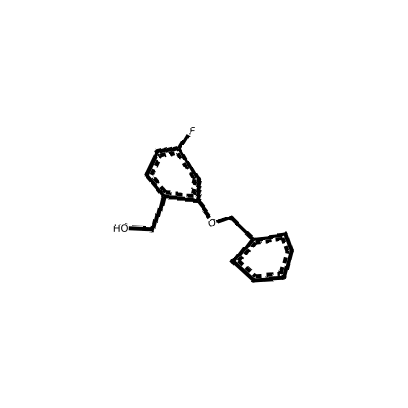 OCc1ccc(F)cc1OCc1ccccc1